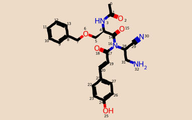 CC(=O)N[C@H](COCc1ccccc1)C(=O)N(C(=O)/C=C/c1ccc(O)cc1)C(C#N)CN